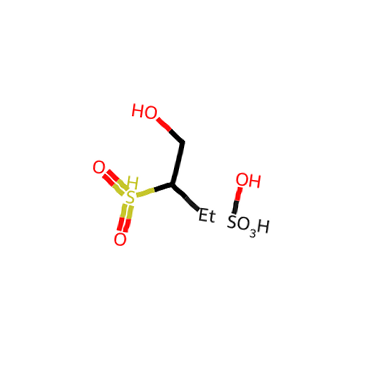 CCC(CO)[SH](=O)=O.O=S(=O)(O)O